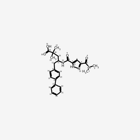 CN(C)C(=O)c1cc(C(=O)NC(Cc2ccc(-c3ccccc3)cc2)CC(C)(C)C(=O)O)[nH]n1